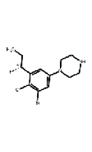 CC[C@@H](F)c1cc(N2CCNCC2)cc(Br)c1Cl